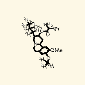 [2H]C([2H])([2H])Oc1cc2c(cc1OC)C1CC(OC(=O)[C@@H](N)C(C)C)C(C([2H])([2H])C([2H])(C)C([2H])([2H])[2H])CN1CC2